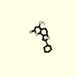 Cc1cc(=O)oc2c1ccc1oc(-c3ccccc3)cc12